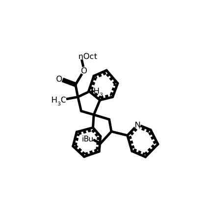 CCCCCCCCOC(=O)C(C)(C)CC(CC(CC(C)CC)c1ccccn1)(c1ccccc1)c1ccccc1